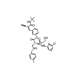 Cc1ccc(CNC[C@H](NC(=O)[C@@H](Nc2cncc(Cl)n2)[C@@H](C)O)C(=O)Oc2cccc(C=C(C#N)C(=O)NC(C)(C)C)c2)cc1